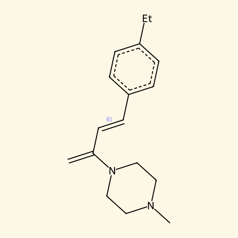 C=C(/C=C/c1ccc(CC)cc1)N1CCN(C)CC1